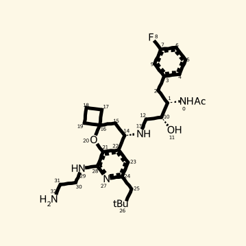 CC(=O)N[C@@H](Cc1cccc(F)c1)[C@H](O)CN[C@H]1CC2(CCC2)Oc2c1cc(CC(C)(C)C)nc2NCCN